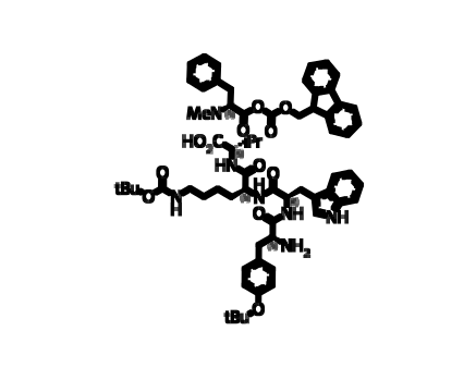 CC(C)[C@H](NC(=O)[C@H](CCCCNC(=O)OC(C)(C)C)NC(=O)[C@@H](Cc1c[nH]c2ccccc12)NC(=O)[C@@H](N)Cc1ccc(OC(C)(C)C)cc1)C(=O)O.CN[C@@H](Cc1ccccc1)C(=O)OC(=O)OCC1c2ccccc2-c2ccccc21